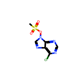 CS(=O)(=O)On1cnc2c(Cl)ncnc21